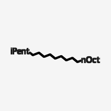 [CH2]CCCCCCCCCCCCCCCCC(C)CC[CH2]